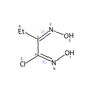 CCC(=N/O)/C(Cl)=N\O